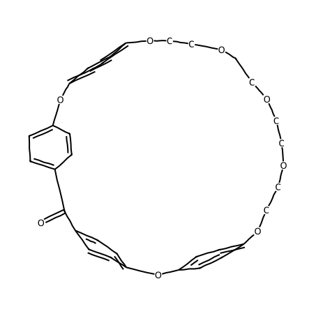 O=C1c2ccc(cc2)Oc2ccc(cc2)OCCOCCOCCOCCOc2ccc(cc2)Oc2ccc1cc2